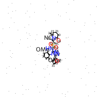 COc1cccc(OC)c1-n1c(NS(=O)(=O)[C@@H](C)CN2C(=O)CCC[C@@]2(C)C#N)nnc1-c1ccco1